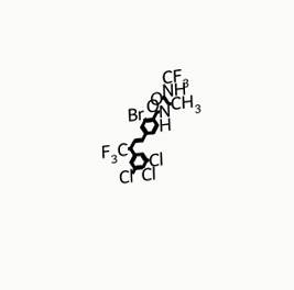 CC(NC(=O)c1ccc(/C=C/C(c2cc(Cl)c(Cl)c(Cl)c2)C(F)(F)F)cc1Br)C(=O)NCC(F)(F)F